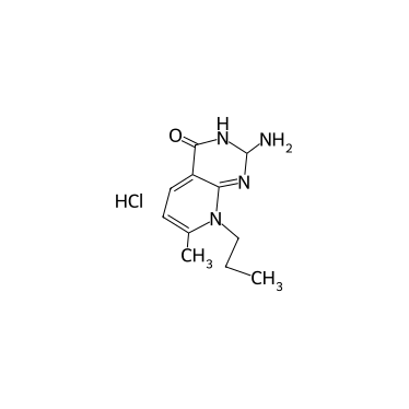 CCCN1C(C)=CC=C2C(=O)NC(N)N=C21.Cl